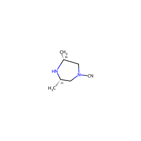 C[C@@H]1CN(C#N)C[C@H](C)N1